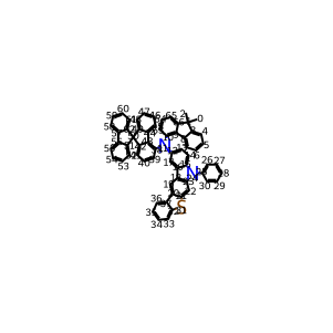 CC1(C)c2ccccc2-c2c(N(c3ccc4c(c3)c3cc5c(cc3n4-c3ccccc3)sc3ccccc35)c3cccc4c3-c3ccccc3C43c4ccccc4-c4ccccc43)cccc21